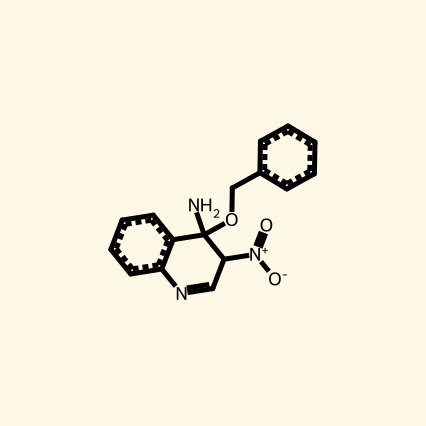 NC1(OCc2ccccc2)c2ccccc2N=CC1[N+](=O)[O-]